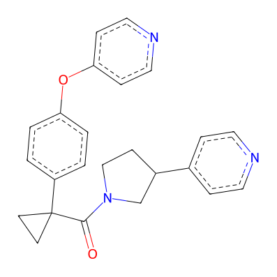 O=C(N1CCC(c2ccncc2)C1)C1(c2ccc(Oc3ccncc3)cc2)CC1